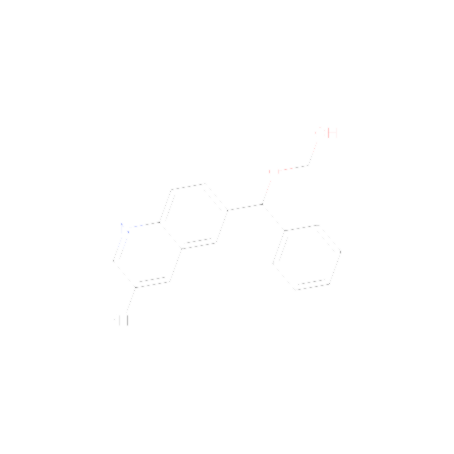 [2H]c1cnc2ccc(C(OCO)c3ccccc3)cc2c1